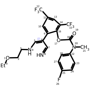 CCOCCN/C=C(\C=N)c1cc(C(F)(F)F)cc(C(F)(F)F)c1OC(=O)N(C)c1ccc(F)cc1